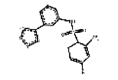 O=S(=O)(Nc1cccc(-c2nnn[nH]2)c1)C1CC=C(Br)C=C1C(F)(F)F